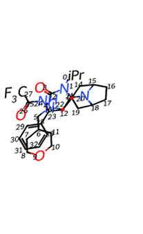 CC(C)N1C(=O)N(CC2CCOCC2)CC12CC1CCC(C2)N1CC[C@H](NC(=O)C(F)(F)F)c1ccccc1